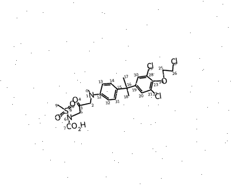 CN(CC(=O)CN(C(=O)O)S(C)(=O)=O)c1ccc(C(C)(C)c2cc(Cl)c(OCCCl)c(Cl)c2)cc1